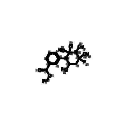 CC(C)OC(=O)c1cccc(N2C(O)CC(C)(F)N(C)C2(O)Cl)c1